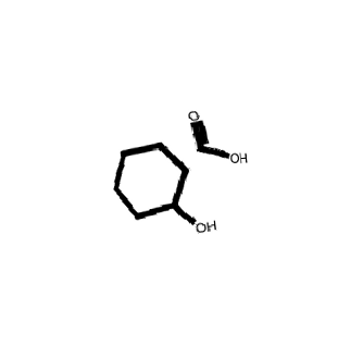 O=CO.OC1CCCCC1